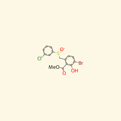 COC(=O)c1c(C[S+]([O-])c2cccc(Cl)c2)ccc(Br)c1O